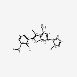 COc1cccc(-c2sc3nc(-c4nccn4C)nc(O)c3c2C)c1F